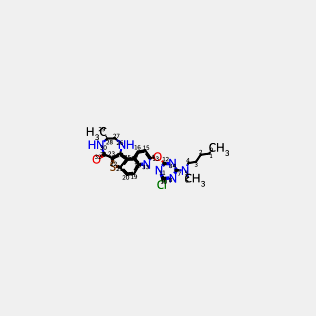 CCCCCN(C)c1nc(Cl)nc(Oc2ccc3c(ccc4sc5c(c43)NC[C@@H](C)NC5=O)n2)n1